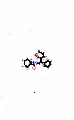 O=C(NCC(c1ccccc1)C1CCCOC1)C1CCCCC1